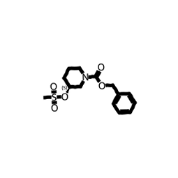 CS(=O)(=O)O[C@H]1CCCN(C(=O)OCc2ccccc2)C1